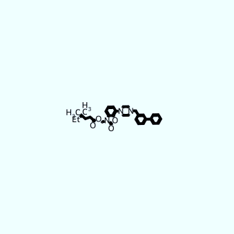 CCC(C)(C)CCC(=O)OCn1c(=O)oc2c(N3CCN(Cc4cccc(-c5ccccc5)c4)CC3)cccc21